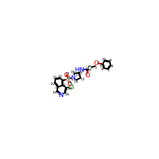 O=C(CCOc1ccccc1)N[C@@H]1CCN(S(=O)(=O)c2cccc3cncc(Cl)c23)C1